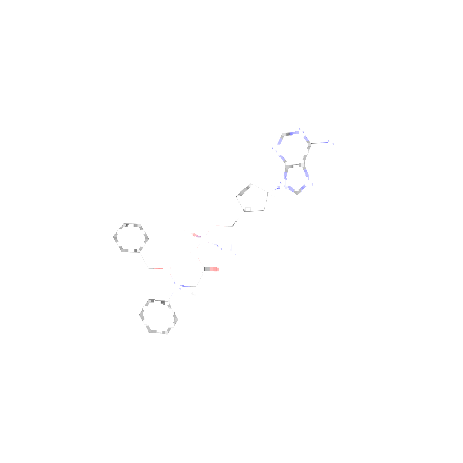 C[C@@H](C(=O)OP(N)(=O)OC[C@H]1C=C[C@@H](n2cnc3c(N)ncnc32)C1)N(OCc1ccccc1)c1ccccc1